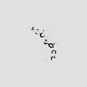 COc1nc(Nc2nccc(-c3ccc(OC4CCN(C(=O)[C@@H](O)CO)CC4)c(C#N)c3)n2)ccc1N1CCN(C2COC2)CC1